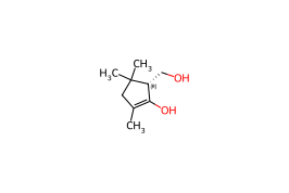 CC1=C(O)[C@@H](CO)C(C)(C)C1